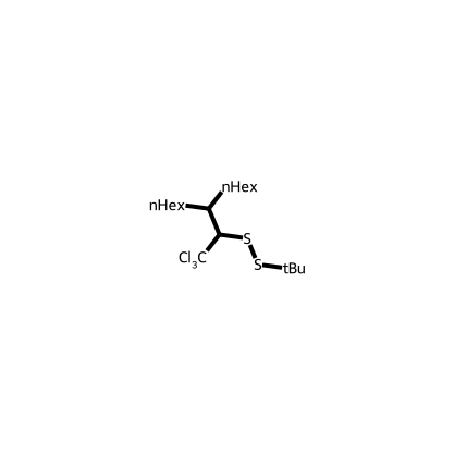 CCCCCCC(CCCCCC)C(SSC(C)(C)C)C(Cl)(Cl)Cl